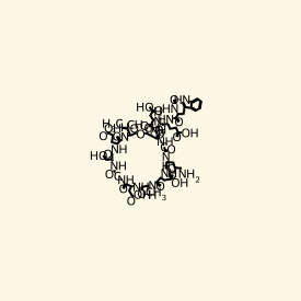 CCC(C)C1NC(=O)C(CCC(=O)O)NC(=O)C(CO)NC(=O)CNC(=O)C(CC(=O)O)NC(=O)C(C)NC(=O)C(CC(=O)O)NC(=O)C(CCCN)NC(=O)CNC(=O)C(NC(=O)C(CC(=O)O)NC(=O)C(CCC(=O)O)NC(=O)C(Cc2c[nH]c3ccccc23)NC=O)C(C)OC1=O